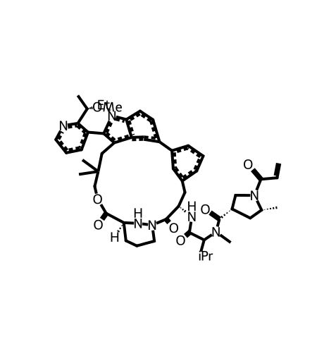 C=CC(=O)N1C[C@@H](C(=O)N(C)C(C(=O)N[C@H]2Cc3cccc(c3)-c3ccc4c(c3)c(c(-c3cccnc3[C@H](C)OC)n4CC)CC(C)(C)COC(=O)[C@@H]3CCCN(N3)C2=O)C(C)C)C[C@H]1C